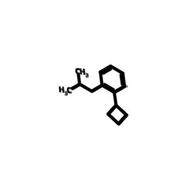 CC(C)Cc1ccc[c]c1C1CCC1